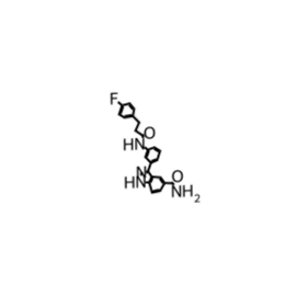 NC(=O)c1ccc2[nH]nc(-c3cccc(NC(=O)CCc4ccc(F)cc4)c3)c2c1